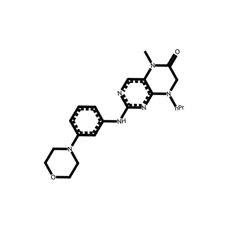 CCCN1CC(=O)N(C)c2cnc(Nc3cccc(N4CCOCC4)c3)nc21